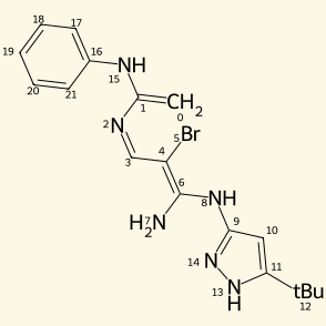 C=C(/N=C\C(Br)=C(/N)Nc1cc(C(C)(C)C)[nH]n1)Nc1ccccc1